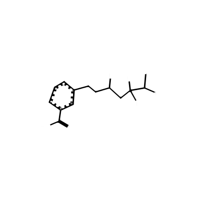 OC(=S)c1cccc(CCC(F)CC(F)(F)C(F)C(F)(F)F)c1